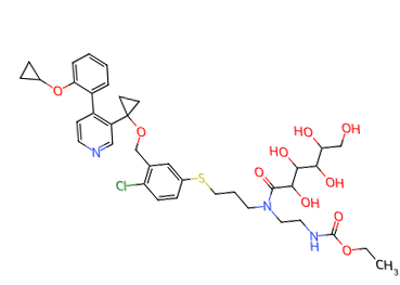 CCOC(=O)NCCN(CCCSc1ccc(Cl)c(COC2(c3cnccc3-c3ccccc3OC3CC3)CC2)c1)C(=O)C(O)C(O)C(O)C(O)CO